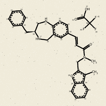 Cc1c(CN(C)C(=O)C=Cc2cnc3c(c2)CN[C@@H](Cc2ccccc2)CN3)oc2ccccc12.O=C(O)C(F)(F)F